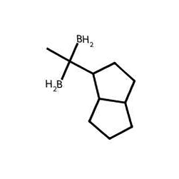 BC(B)(C)C1CCC2CCCC21